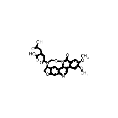 COc1cc2c(=O)n3c4c5cc6c(cc5ncc4c2cc1OC)OCC6N(C(=O)/C=C(/CC(=O)O)C(=O)O)CC3